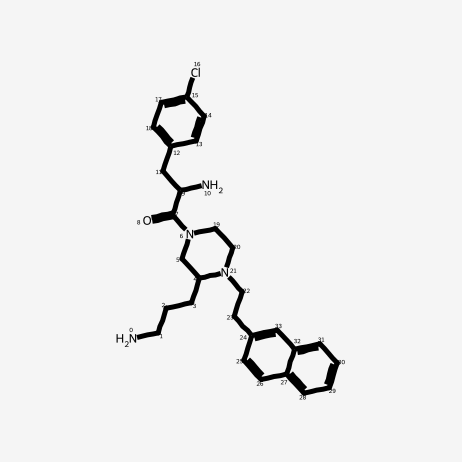 NCCCC1CN(C(=O)C(N)Cc2ccc(Cl)cc2)CCN1CCc1ccc2ccccc2c1